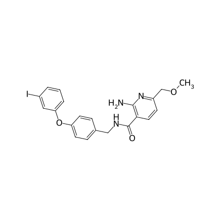 COCc1ccc(C(=O)NCc2ccc(Oc3cccc(I)c3)cc2)c(N)n1